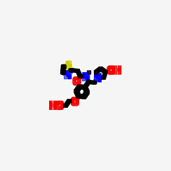 CN(C(=O)Cc1nccs1)C(CN1CC[C@H](O)C1)c1ccc(OCCO)cc1